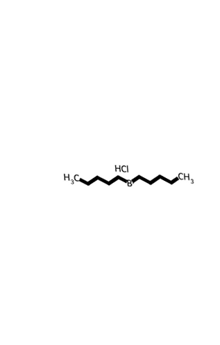 CCCCC[B]CCCCC.Cl